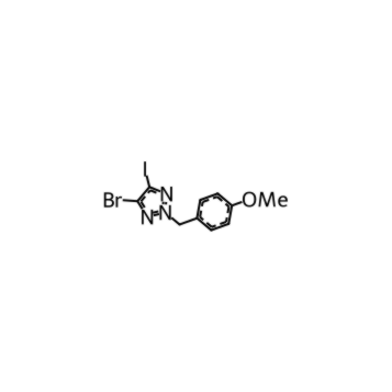 COc1ccc(Cn2nc(Br)c(I)n2)cc1